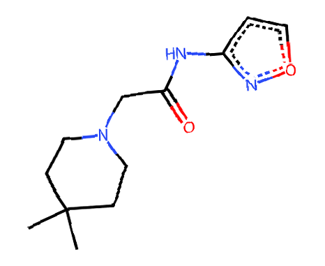 CC1(C)CCN(CC(=O)Nc2ccon2)CC1